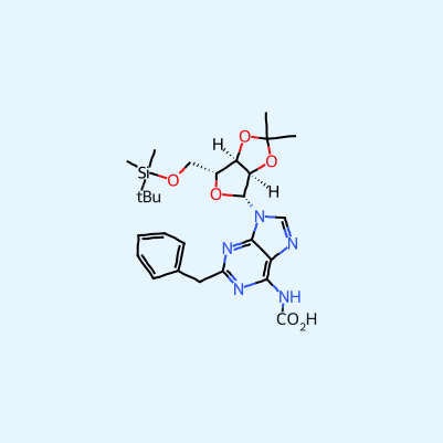 CC1(C)O[C@@H]2[C@H](O1)[C@@H](CO[Si](C)(C)C(C)(C)C)O[C@H]2n1cnc2c(NC(=O)O)nc(Cc3ccccc3)nc21